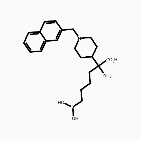 NC(CCCCB(O)O)(C(=O)O)C1CCN(Cc2ccc3ccccc3c2)CC1